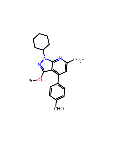 CCOC(=O)c1cc(-c2ccc(C=O)cc2)c2c(OC(C)C)nn(C3CCCCC3)c2n1